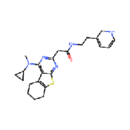 CN(c1nc(CC(=O)NCCC2=CC=CNC2)nc2sc3c(c12)CCCC3)C1CC1